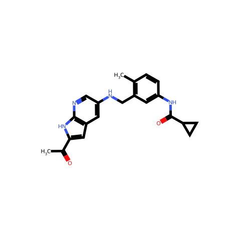 CC(=O)c1cc2cc(NCc3cc(NC(=O)C4CC4)ccc3C)cnc2[nH]1